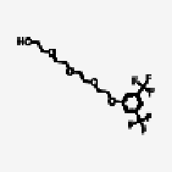 OCCOCCOCCOCCOc1cc(C(F)(F)F)cc(C(F)(F)F)c1